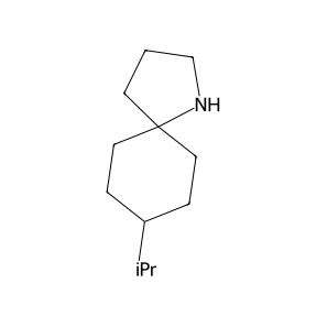 CC(C)C1CCC2(CCCN2)CC1